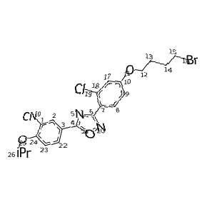 [C-]#[N+]c1cc(-c2nc(-c3ccc(OCCCCBr)cc3Cl)no2)ccc1OC(C)C